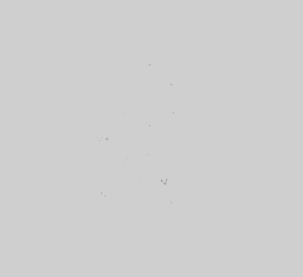 CC#CCNC(=O)C(OC)(c1ccccn1)C(S)N1CCOCC1